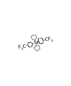 FC(F)(F)c1cc[c]([Sn]([c]2ccc(C(F)(F)F)cc2)([CH]2CCCCC2)[CH]2CCCCC2)cc1